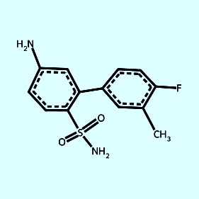 Cc1cc(-c2cc(N)ccc2S(N)(=O)=O)ccc1F